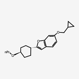 C[CH]CO[C@H]1CC[C@H](c2cc3ccc(OCC4CC4)cc3o2)CC1